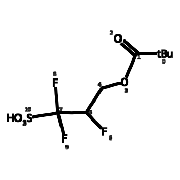 CC(C)(C)C(=O)OCC(F)C(F)(F)S(=O)(=O)O